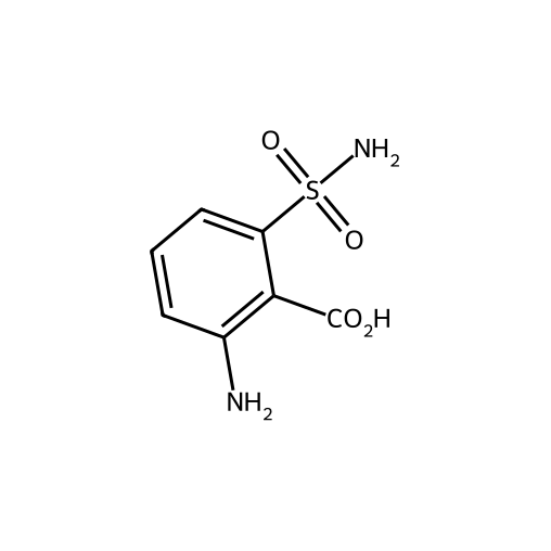 Nc1cccc(S(N)(=O)=O)c1C(=O)O